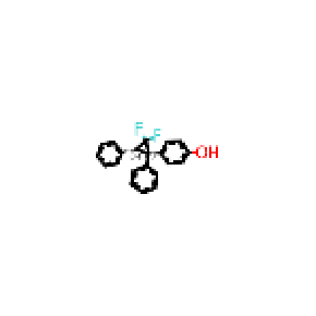 Oc1ccc([C@@]2(c3ccccc3)[C@H](c3ccccc3)C2(F)F)cc1